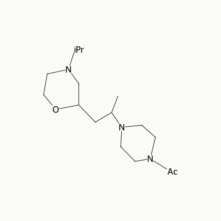 CC(=O)N1CCN(C(C)CC2CN(C(C)C)CCO2)CC1